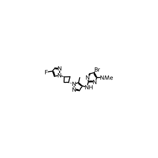 CNc1nc(Nc2cnn([C@H]3C[C@H](n4cc(F)cn4)C3)c2C)ncc1Br